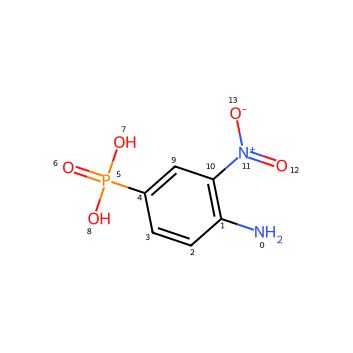 Nc1ccc(P(=O)(O)O)cc1[N+](=O)[O-]